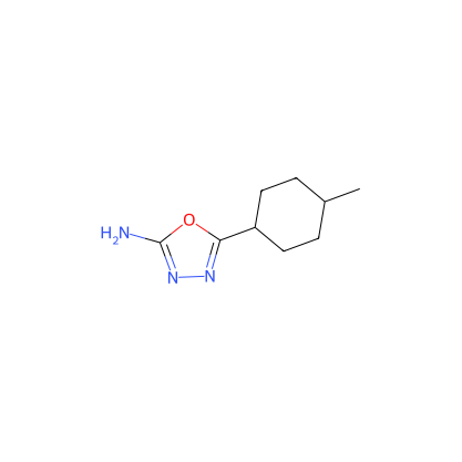 CC1CCC(c2nnc(N)o2)CC1